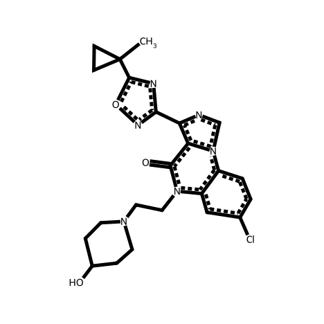 CC1(c2nc(-c3ncn4c3c(=O)n(CCN3CCC(O)CC3)c3cc(Cl)ccc34)no2)CC1